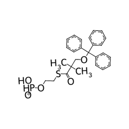 CC(C)(COC(c1ccccc1)(c1ccccc1)c1ccccc1)C(=O)SCCO[PH](=O)O